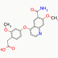 COc1cc(Oc2ccnc3cc(OC)c(C(N)=O)cc23)ccc1CC(=O)O